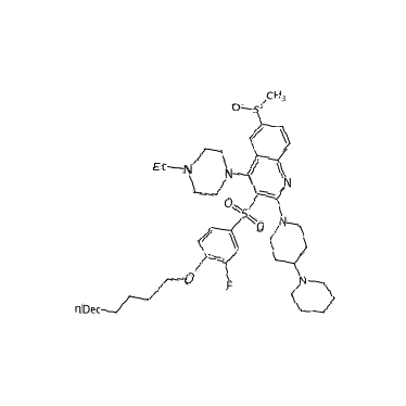 CCCCCCCCCCCCCCOc1ccc(S(=O)(=O)c2c(N3CCC(N4CCCCC4)CC3)nc3ccc([S+](C)[O-])cc3c2N2CCN(CC)CC2)cc1F